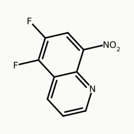 O=[N+]([O-])c1cc(F)c(F)c2cccnc12